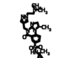 C[C@@H]1CN=C2N(Cc3cnn(CCN(C)C)c3)C(=O)c3cc(S(=O)(=O)NC4(C)CC4)ccc3N21